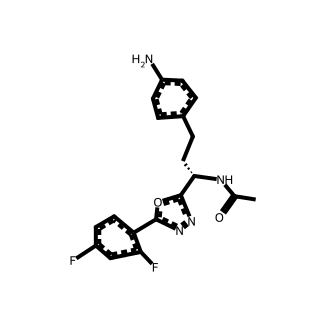 CC(=O)N[C@@H](CCc1ccc(N)cc1)c1nnc(-c2ccc(F)cc2F)o1